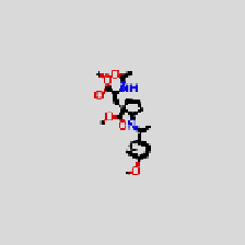 COC(=O)C(C[C@@]1(C(=O)OC)CCC/C1=N\C(C)c1ccc(OC)cc1)NC(C)=O